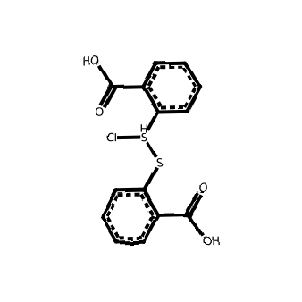 O=C(O)c1ccccc1S[SH](Cl)c1ccccc1C(=O)O